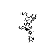 COc1ccc(-c2nc(C(=O)NC3CC(Cc4cnccn4)C3)c([C@H](C)N)o2)c2ccc(C(F)(F)F)nc12